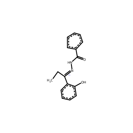 CC/C(=N\NC(=O)c1ccccc1)c1ccccc1O